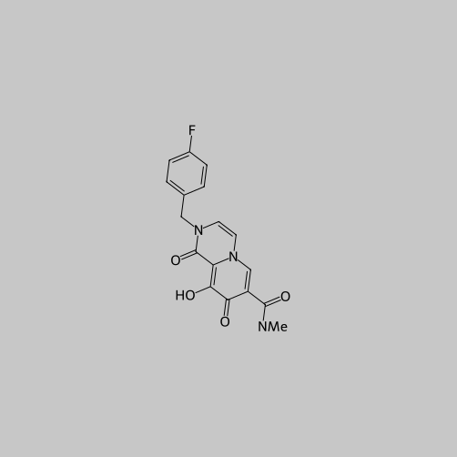 CNC(=O)c1cn2ccn(Cc3ccc(F)cc3)c(=O)c2c(O)c1=O